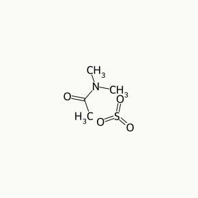 CC(=O)N(C)C.O=S(=O)=O